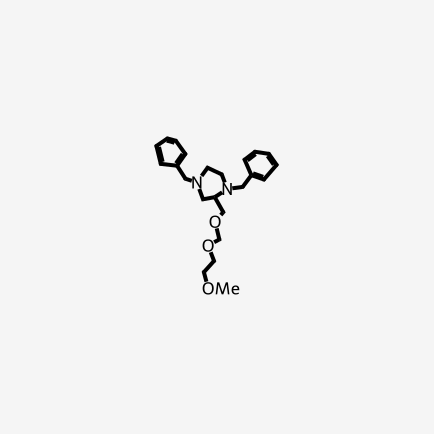 COCCOCOCC1CN(Cc2ccccc2)CCN1Cc1ccccc1